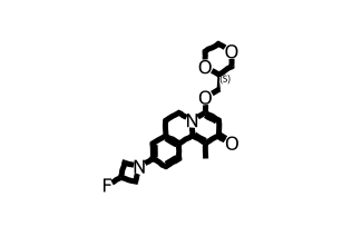 Cc1c2n(c(OC[C@@H]3COCCO3)cc1=O)CCc1cc(N3CC(F)C3)ccc1-2